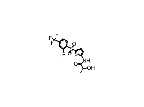 C[C@H](O)C(=O)Nc1ccc(S(=O)(=O)c2ccc(C(F)(F)F)cc2F)s1